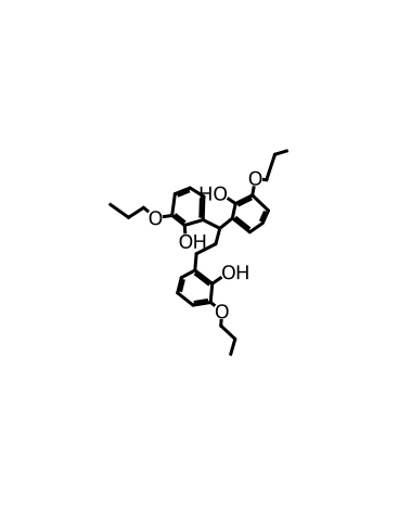 CCCOc1cccc(CCC(c2cccc(OCCC)c2O)c2cccc(OCCC)c2O)c1O